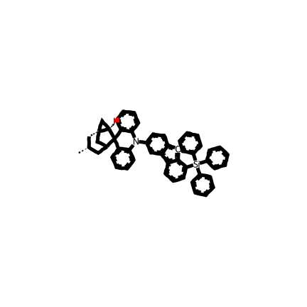 C[C@H]1CC2C[C@@]3(C1)C[C@H]3C21c2ccccc2N(c2ccc3oc4c([Si](c5ccccc5)(c5ccccc5)c5ccccc5)cccc4c3c2)c2ccccc21